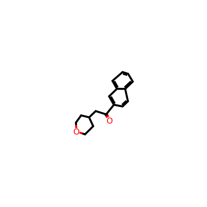 O=C(CC1CCOCC1)c1ccc2ccccc2c1